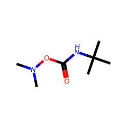 CN(C)OC(=O)NC(C)(C)C